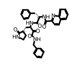 O=C(NCc1ccccc1)C(=O)C(C[C@@H]1CCNC1=O)NC(=O)[C@H](Cc1ccccc1)NC(=O)c1ccc2ccccc2n1